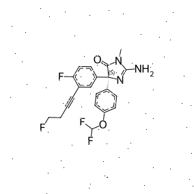 CN1C(=O)[C@](c2ccc(OC(F)F)cc2)(c2ccc(F)c(C#CCCF)c2)N=C1N